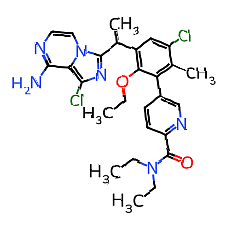 CCOc1c(C(C)c2nc(Cl)c3c(N)nccn23)cc(Cl)c(C)c1-c1ccc(C(=O)N(CC)CC)nc1